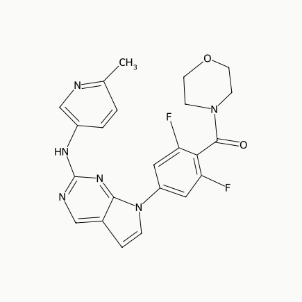 Cc1ccc(Nc2ncc3ccn(-c4cc(F)c(C(=O)N5CCOCC5)c(F)c4)c3n2)cn1